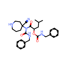 CC(C)CC(OC(=O)NCc1ccccc1)C(=O)N(C(=O)NCc1ccccc1)C1(C#N)CCCNCC1